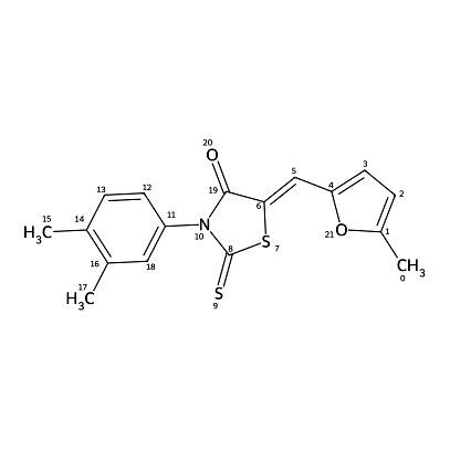 Cc1ccc(C=C2SC(=S)N(c3ccc(C)c(C)c3)C2=O)o1